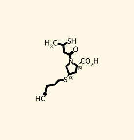 C#CCCCS[C@H]1C[C@@H](C(=O)O)N(C(=O)CC(C)S)C1